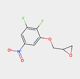 O=[N+]([O-])c1cc(F)c(F)c(OCC2CO2)c1